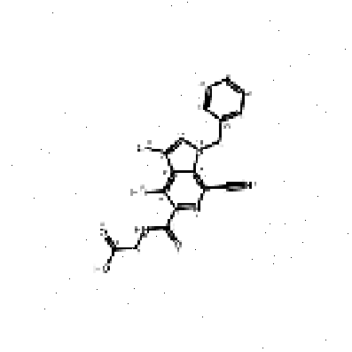 N#Cc1nc(C(=O)NCC(=O)O)c(O)c2c(Cl)cn(Cc3ccccc3)c12